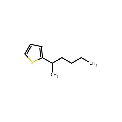 CCCCC(C)c1[c]ccs1